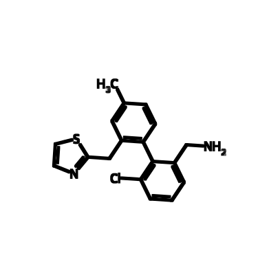 Cc1ccc(-c2c(Cl)cccc2CN)c(Cc2nccs2)c1